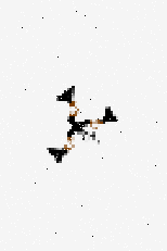 CC(CSC1CC1)(CSC1CC1)CSC1CC1